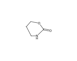 O=C1NC[CH]CO1